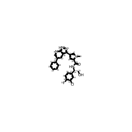 Cn1cc(-c2n[nH]c3ncc(-c4ccccc4)cc23)cc1C(=O)N[C@H](CO)c1ccc(F)c(Cl)c1